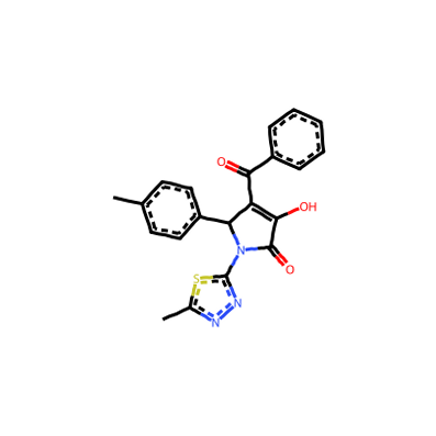 Cc1ccc(C2C(C(=O)c3ccccc3)=C(O)C(=O)N2c2nnc(C)s2)cc1